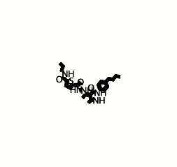 CCCCc1ccc(NC(=O)/C(C(C)=N)=C(/C)NNC(=O)c2ccc(C(=O)NCCC)s2)cc1